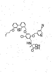 C[C@](CO)(NCc1cc(Cl)c(OCc2cccc(-c3cccc(OCCCI)c3Cl)c2Cl)cc1OCc1cncc(C#N)c1)C(=O)O